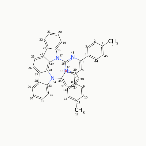 Cc1ccc(-c2cc(-c3ccc(C)cc3)nc(-n3c4ccccc4c4ccc5c6ccccc6n(-c6ccccc6)c5c43)n2)cc1